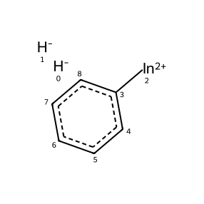 [H-].[H-].[In+2][c]1ccccc1